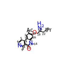 CC(=O)c1cc2c3ccnc(C)c3c(=O)n(C)c2cc1OC[C@@H](N)CC(C)C